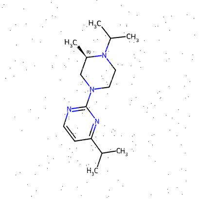 CC(C)c1ccnc(N2CCN(C(C)C)[C@H](C)C2)n1